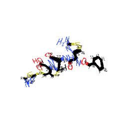 Nc1nc(/C(=N\OCc2ccccc2)C(=O)NC2C(=O)N3C(C(=O)O)=C(CSc4nncs4)CS[C@H]23)cs1